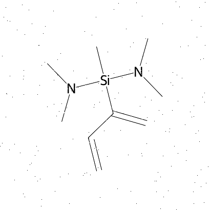 C=CC(=C)[Si](C)(N(C)C)N(C)C